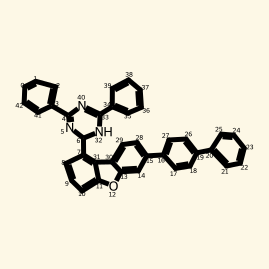 c1ccc(C2=NC(c3cccc4oc5cc(-c6ccc(-c7ccccc7)cc6)ccc5c34)NC(c3ccccc3)=N2)cc1